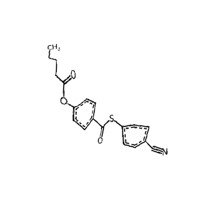 CCCCC(=O)Oc1ccc(C(=O)Sc2ccc(C#N)cc2)cc1